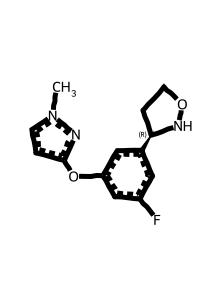 Cn1ccc(Oc2cc(F)cc([C@H]3CCON3)c2)n1